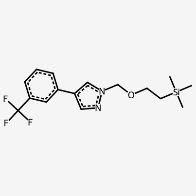 C[Si](C)(C)CCOCn1cc(-c2cccc(C(F)(F)F)c2)cn1